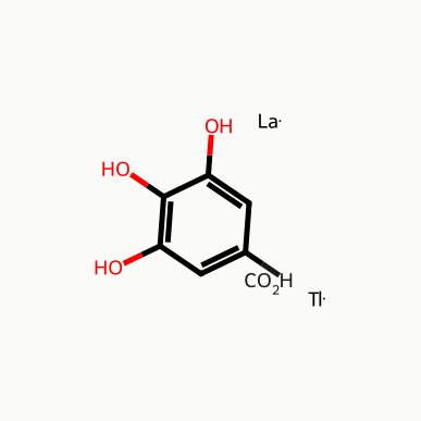 O=C(O)c1cc(O)c(O)c(O)c1.[La].[Tl]